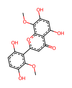 COc1c(O)ccc(O)c1-c1cc(=O)c2c(O)cc(O)c(OC)c2o1